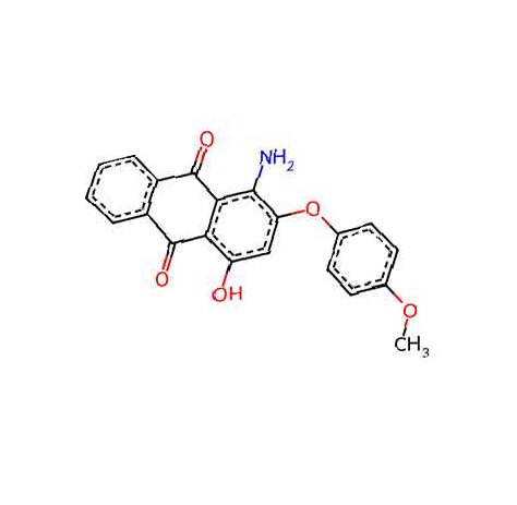 COc1ccc(Oc2cc(O)c3c(c2N)C(=O)c2ccccc2C3=O)cc1